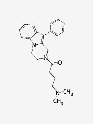 CN(C)CCCC(=O)N1CCn2c(c(-c3ccccc3)c3ccccc32)C1